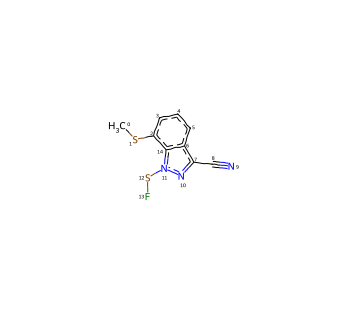 CSc1cccc2c(C#N)nn(SF)c12